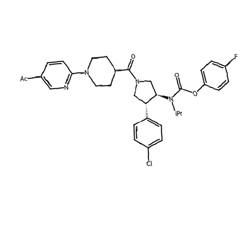 CC(=O)c1ccc(N2CCC(C(=O)N3C[C@@H](N(C(=O)Oc4ccc(F)cc4)C(C)C)[C@H](c4ccc(Cl)cc4)C3)CC2)nc1